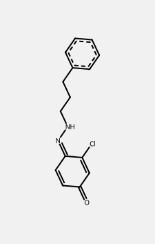 O=C1C=C/C(=N/NCCCc2ccccc2)C(Cl)=C1